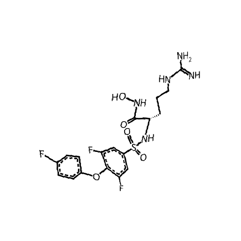 N=C(N)NCCC[C@H](NS(=O)(=O)c1cc(F)c(Oc2ccc(F)cc2)c(F)c1)C(=O)NO